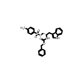 Cc1ccc(S(=O)(=O)OC[C@H](Cc2c[nH]c3ccccc23)NC(=O)OCc2ccccc2)cc1